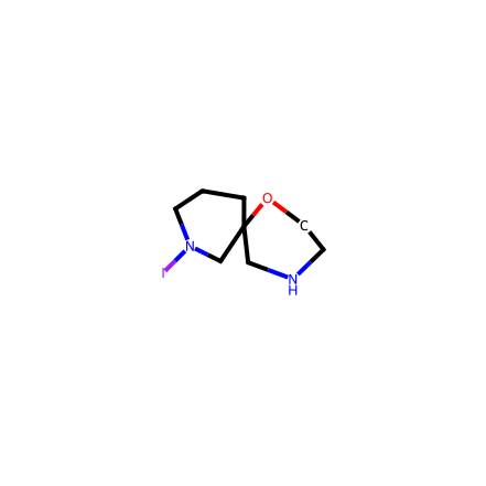 IN1CCCC2(CNCCO2)C1